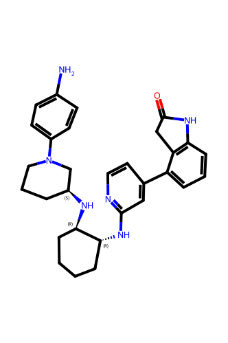 Nc1ccc(N2CCC[C@H](N[C@@H]3CCCC[C@H]3Nc3cc(-c4cccc5c4CC(=O)N5)ccn3)C2)cc1